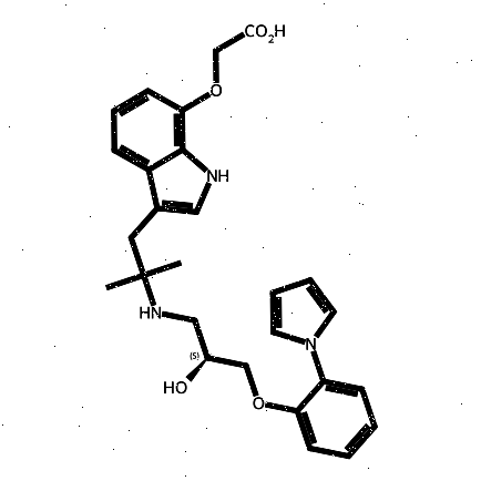 CC(C)(Cc1c[nH]c2c(OCC(=O)O)cccc12)NC[C@H](O)COc1ccccc1-n1cccc1